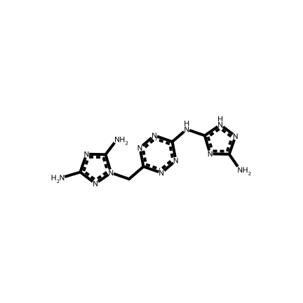 Nc1n[nH]c(Nc2nnc(Cn3nc(N)nc3N)nn2)n1